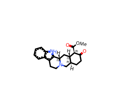 COC(=O)[C@H]1C(=O)CC[C@H]2CN3CCc4c([nH]c5ccccc45)[C@@H]3C[C@@H]21